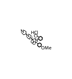 COc1ccc(C(=O)N(CC(=O)N2CCN(C3CCN(C)CC3)CC2)c2ccccc2Cl)cc1.Cl